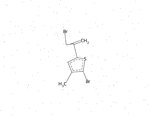 C=C(CBr)c1cc(C)c(Br)s1